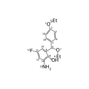 CCOc1ccc(C(OCC)c2cc(F)cc(N)c2O)cc1